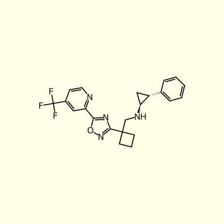 FC(F)(F)c1ccnc(-c2nc(C3(CN[C@H]4C[C@@H]4c4ccccc4)CCC3)no2)c1